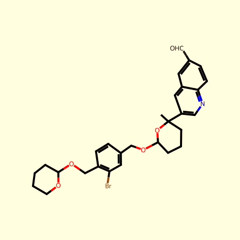 CC1(c2cnc3ccc(C=O)cc3c2)CCCC(OCc2ccc(COC3CCCCO3)c(Br)c2)O1